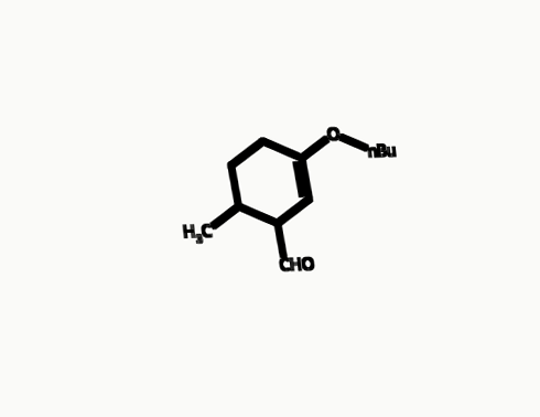 CCCCOC1=CC(C=O)C(C)CC1